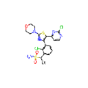 CCC(c1cccc(-c2nc(N3CCOCC3)sc2-c2ccnc(Cl)n2)c1Cl)S(N)(=O)=O